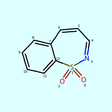 O=S1(=O)N=[C]C=Cc2ccccc21